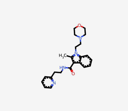 Cc1c(C(=O)NCCc2ccccn2)c2ccccc2n1CCN1CCOCC1